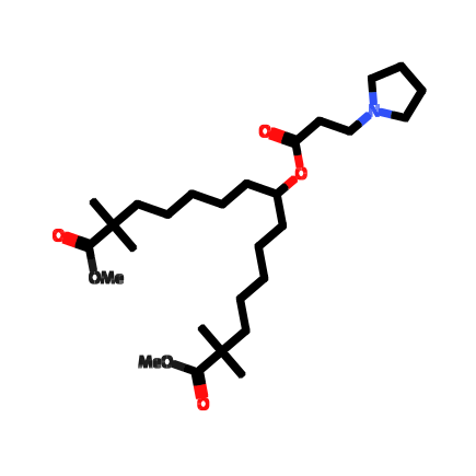 COC(=O)C(C)(C)CCCCCC(CCCCCC(C)(C)C(=O)OC)OC(=O)CCN1CCCC1